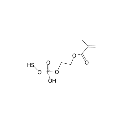 C=C(C)C(=O)OCCOP(=O)(O)OS